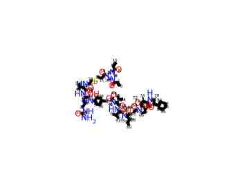 C=CC(=O)N1CN(C(=O)C=C)CN(C(=O)CCSCC(=O)N[C@H](C(=O)N[C@@H](CCCNC(N)=O)C(O)Nc2ccc(COC(=O)N(C)[C@H](C(=O)N[C@H](C(=O)N(C)[C@@H]([C@H](C)CC)[C@@H](CC(=O)N3CCC[C@H]3[C@H](OC)[C@@H](C)C(=O)N[C@H](C)[C@@H](O)c3ccccc3)OC)C(C)C)C(C)C)cc2)C(C)C)C1